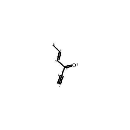 C#CC(=O)C=CC